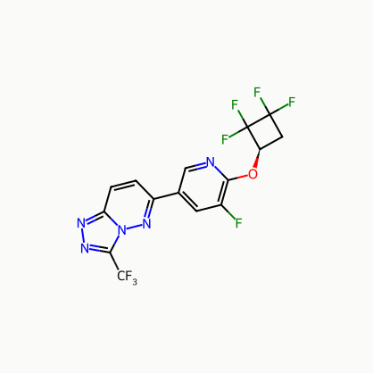 Fc1cc(-c2ccc3nnc(C(F)(F)F)n3n2)cnc1O[C@@H]1CC(F)(F)C1(F)F